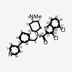 CN[C@H]1CC[C@@H](N(Cc2cccc(-c3ccncc3)c2)C(=O)c2sc3cccc(Cl)c3c2Cl)CC1